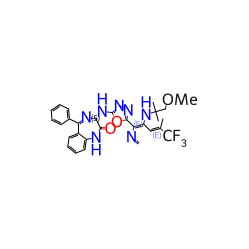 C=N/C(=C(\C=C(/C)C(F)(F)F)NC(C)(C)COC)c1nnc(N[C@H]2N=C(c3ccccc3)c3ccccc3NC2=O)o1